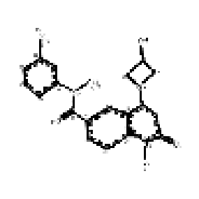 CCn1c(=O)cc(N2CC(O)C2)c2cc(C(=O)N(C)c3cccc(C(F)(F)F)c3)ccc21